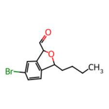 CCCCC1OC(C=O)c2cc(Br)ccc21